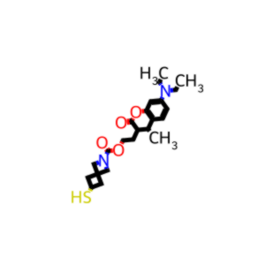 CCN(CC)c1ccc2c(c1)OC(=O)C(CCOC(=O)N1CC3(CC(S)C3)C1)C2C